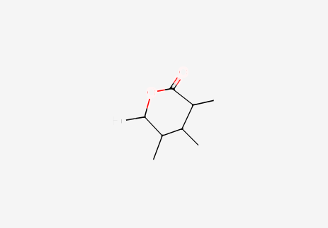 CCC1OC(=O)C(C)C(C)C1C